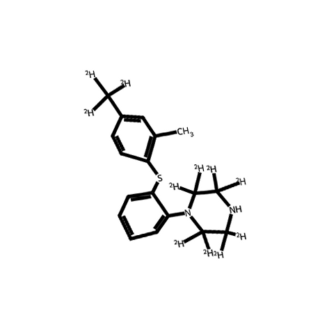 [2H]C([2H])([2H])c1ccc(Sc2ccccc2N2C([2H])([2H])C([2H])([2H])NC([2H])([2H])C2([2H])[2H])c(C)c1